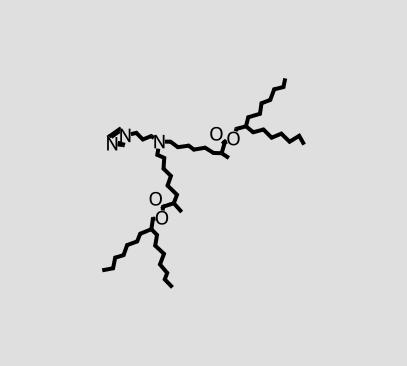 CCCCCCCC(CCCCCCC)COC(=O)C(C)CCCCCCN(CCCCCCC(C)C(=O)OCC(CCCCCCC)CCCCCCC)CCCn1ccnc1